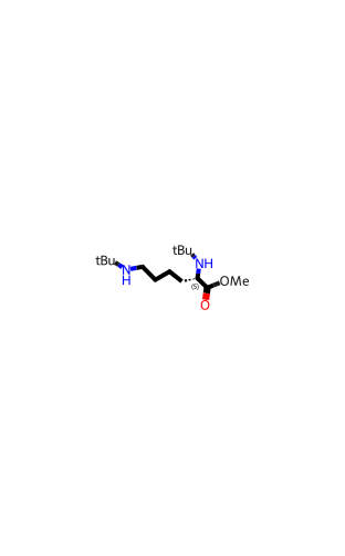 COC(=O)[C@H](CCCCNC(C)(C)C)NC(C)(C)C